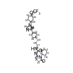 Cc1ccccc1N1C(=O)CS/C1=N/C(=O)NCCCc1ccc(-c2ncn(-c3ccc(OC(F)(F)F)cc3)n2)cc1